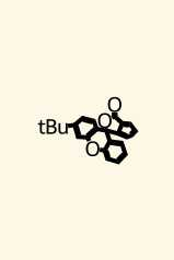 CC(C)(C)c1ccc2c(c1)Oc1ccccc1C21OC(=O)c2ccccc21